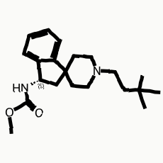 COC(=O)N[C@H]1CC2(CCN(CCC(C)(C)C)CC2)c2ccccc21